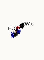 COc1ccc(COC(C)c2nnc(Cc3cncnc3)s2)cc1